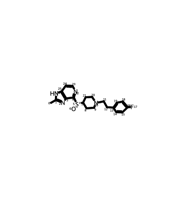 Cc1nc2c([S+]([O-])C3CCN(CCc4ccc(F)cc4)CC3)nccc2[nH]1